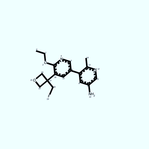 CCOc1ncc(-c2cc(N)cnc2C)cc1C1(CF)COC1